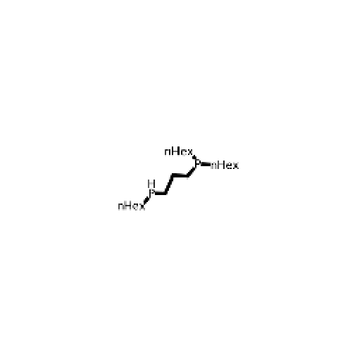 CCCCCCPCCCP(CCCCCC)CCCCCC